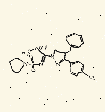 CN/C(=N\S(=O)(=O)N1CCCC1)N1CC(c2ccccc2)C(c2ccc(Cl)cc2)=N1